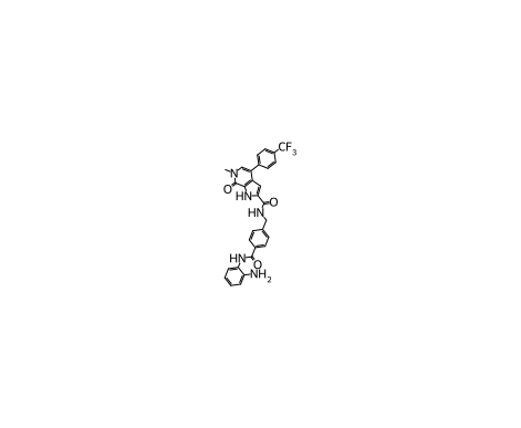 Cn1cc(-c2ccc(C(F)(F)F)cc2)c2cc(C(=O)NCc3ccc(C(=O)Nc4ccccc4N)cc3)[nH]c2c1=O